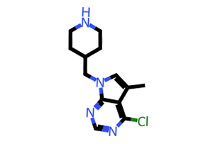 Cc1cn(CC2CCNCC2)c2ncnc(Cl)c12